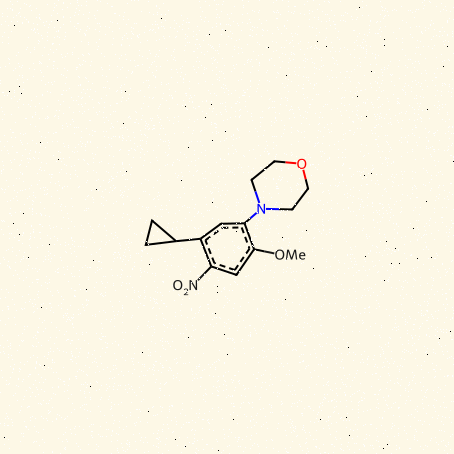 COc1cc([N+](=O)[O-])c(C2CC2)cc1N1CCOCC1